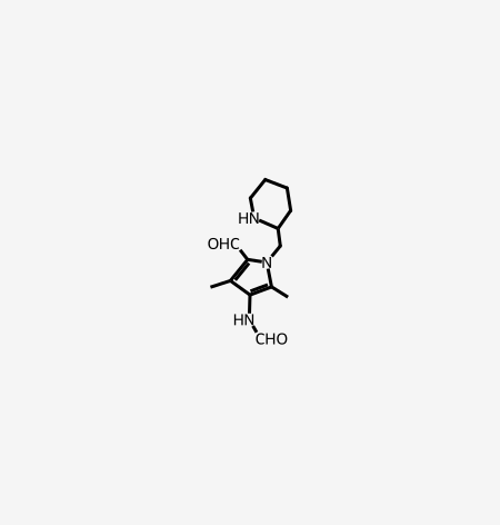 Cc1c(NC=O)c(C)n(CC2CCCCN2)c1C=O